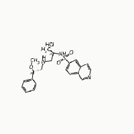 CO[C@H](CNC[C@@H](C)NS(=O)(=O)c1ccc2cnccc2c1)c1ccccc1.Cl